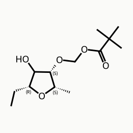 CC[C@H]1O[C@@H](C)[C@@H](OCOC(=O)C(C)(C)C)C1O